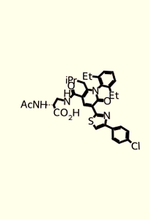 CCc1cccc(CC)c1-n1c(CC(C)C)c(C(=O)NC[C@@H](NC(C)=O)C(=O)O)cc(-c2nc(-c3ccc(Cl)cc3)cs2)c1=O